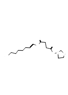 CCCCCCCCCCCCCCCC=COC(=O)CCC(=O)ON1CCNC1